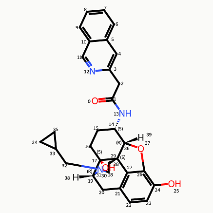 O=C(Cc1cc2ccccc2cn1)N[C@H]1CC[C@@]2(O)[C@H]3Cc4ccc(O)c5c4[C@@]2(CCN3CC2CC2)[C@H]1O5